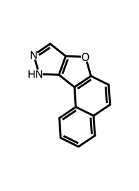 c1ccc2c(c1)ccc1oc3cn[nH]c3c12